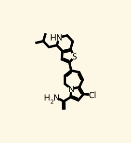 C=C(N)c1cc(Cl)c2n1CC=C(c1cc3c(s1)CCNC3CC(C)C)C=C2